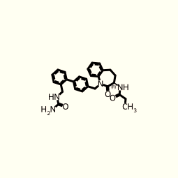 CCC(=O)N[C@@H]1CCc2ccccc2N(Cc2ccc(-c3ccccc3CNC(N)=O)cc2)C1=O